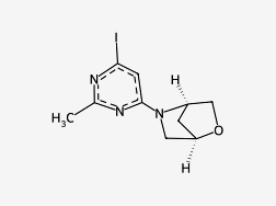 Cc1nc(I)cc(N2C[C@H]3C[C@@H]2CO3)n1